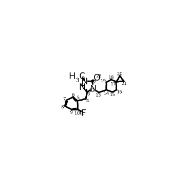 Cn1nc(Cc2ccccc2F)n(CC2CCC3(CC2)CC3)c1=O